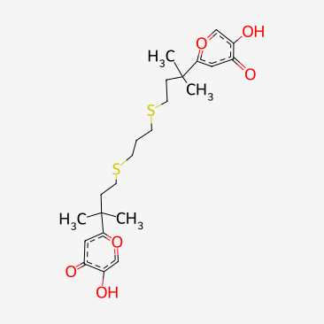 CC(C)(CCSCCCSCCC(C)(C)c1cc(=O)c(O)co1)c1cc(=O)c(O)co1